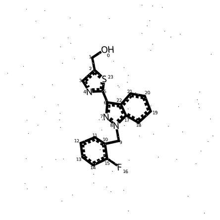 OCc1cnc(-c2nn(Cc3ccccc3F)c3ccccc23)s1